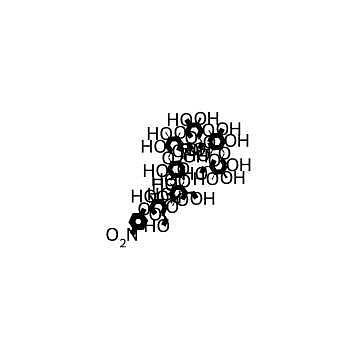 O=[N+]([O-])c1ccc(O[C@H]2O[C@H](CO)[C@@H](O[C@H]3O[C@H](CO)[C@@H](O[C@H]4O[C@H](CO)[C@@H](O[C@H]5O[C@H](CO)[C@@H](O[C@H]6O[C@@H](CO)[C@@H](O[C@H]7O[C@@H](CO)[C@@H](O[C@H]8O[C@@H](CO)[C@@H](O)[C@H](O)C8O)[C@H](O)C7O)[C@H](O)C6O)[C@@H](O)[C@@H]5O)[C@@H](O)[C@@H]4O)[C@@H](O)[C@@H]3O)[C@@H](O)[C@@H]2O)cc1